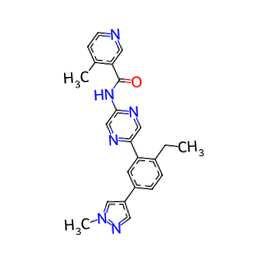 CCc1ccc(-c2cnn(C)c2)cc1-c1cnc(NC(=O)c2cnccc2C)cn1